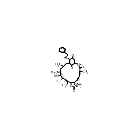 COC1/C=C\C=C(/C)C(=O)NC2=CC(=O)C(NCc3ccccc3)=C(CC(C)CC(OC)[C@H](O)[C@@H](C)/C=C(\C)C1OC(N)=O)C2=O